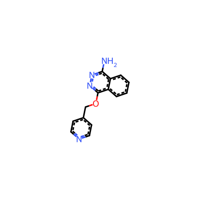 Nc1nnc(OCc2ccncc2)c2ccccc12